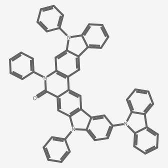 O=c1c2cc3c(cc2c2cc4c5ccccc5n(-c5ccccc5)c4cc2n1-c1ccccc1)c1cc(-n2c4ccccc4c4ccccc42)ccc1n3-c1ccccc1